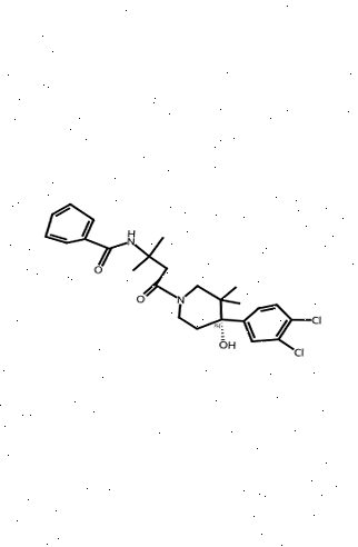 CC(C)(CC(=O)N1CC[C@](O)(c2ccc(Cl)c(Cl)c2)C(C)(C)C1)NC(=O)c1ccccc1